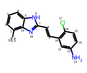 CCc1cccc2[nH]c(C=Cc3cc(N)ccc3Cl)nc12